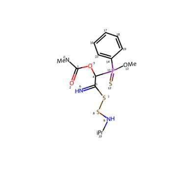 CNC(=O)OC(C(=N)SSNC(C)C)P(=S)(OC)c1ccccc1